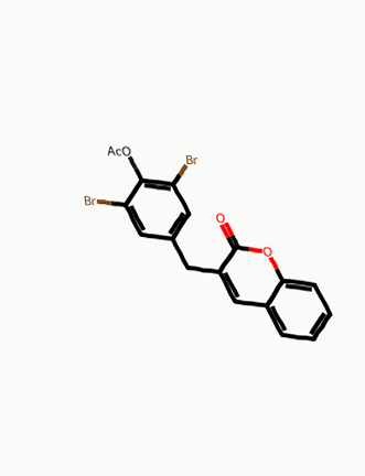 CC(=O)Oc1c(Br)cc(Cc2cc3ccccc3oc2=O)cc1Br